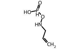 C=CCNO[PH](=O)O